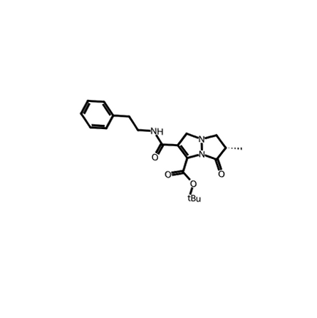 C[C@H]1CN2CC(C(=O)NCCc3ccccc3)=C(C(=O)OC(C)(C)C)N2C1=O